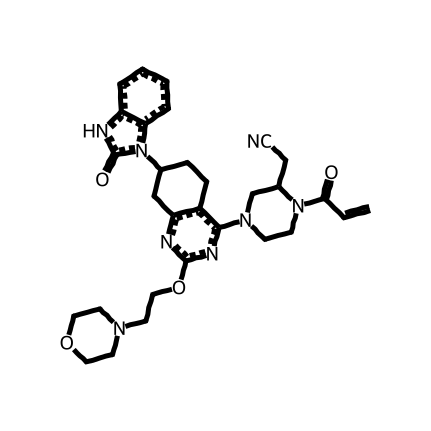 C=CC(=O)N1CCN(c2nc(OCCN3CCOCC3)nc3c2CCC(n2c(=O)[nH]c4ccccc42)C3)CC1CC#N